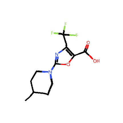 CC1CCN(c2nc(C(F)(F)F)c(C(=O)O)o2)CC1